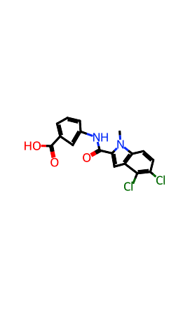 Cn1c(C(=O)Nc2cccc(C(=O)O)c2)cc2c(Cl)c(Cl)ccc21